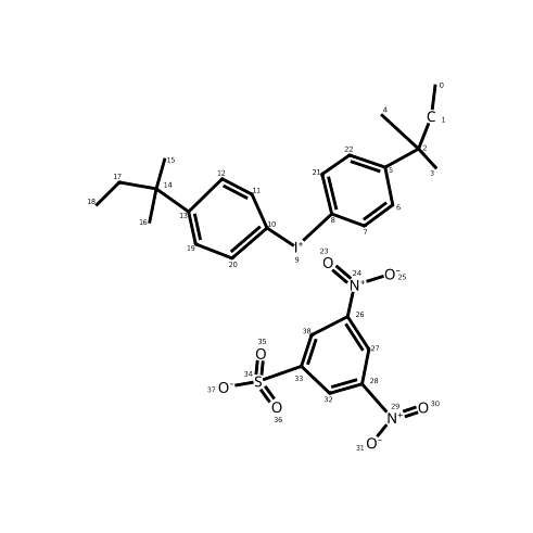 CCC(C)(C)c1ccc([I+]c2ccc(C(C)(C)CC)cc2)cc1.O=[N+]([O-])c1cc([N+](=O)[O-])cc(S(=O)(=O)[O-])c1